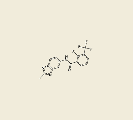 Cc1nc2cc(NC(=O)c3cccc(C(F)(F)F)c3F)ccc2s1